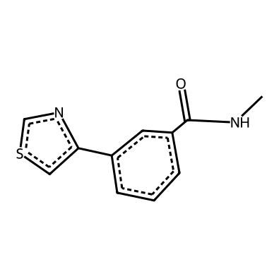 CNC(=O)c1cccc(-c2cscn2)c1